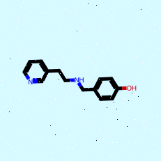 Oc1ccc(CNCCc2cccnc2)cc1